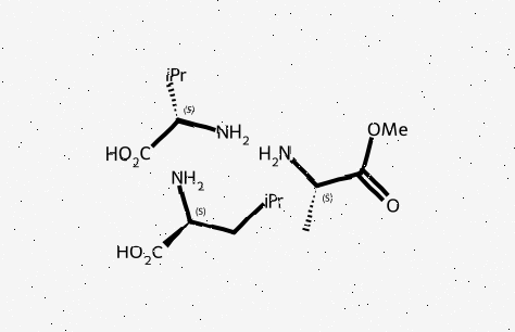 CC(C)C[C@H](N)C(=O)O.CC(C)[C@H](N)C(=O)O.COC(=O)[C@H](C)N